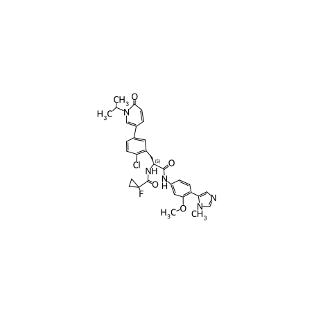 COc1cc(NC(=O)[C@H](Cc2cc(-c3ccc(=O)n(C(C)C)c3)ccc2Cl)NC(=O)C2(F)CC2)ccc1-c1cncn1C